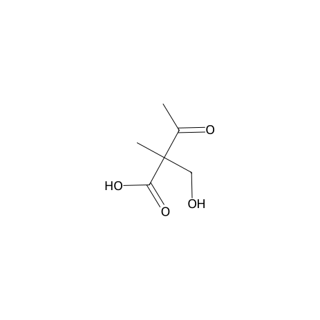 CC(=O)C(C)(CO)C(=O)O